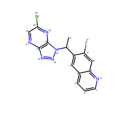 CC(c1cc2cccnc2cc1F)n1nnc2ncc(Br)nc21